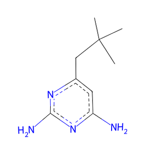 CC(C)(C)Cc1cc(N)nc(N)n1